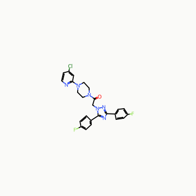 O=C(Cn1nc(-c2ccc(F)cc2)nc1-c1ccc(F)cc1)N1CCN(c2cc(Cl)ccn2)CC1